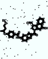 CCOCCC(C)Oc1ccc(C(=O)Nc2ccc3nc(C(=O)N4C[C@@H](CCl)c5c4cc(O)c4ccccc54)cn3c2)cc1